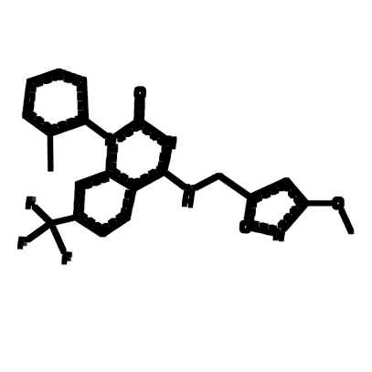 COc1cc(CNc2nc(=O)n(-c3ccccc3C)c3cc(C(F)(F)F)ccc23)on1